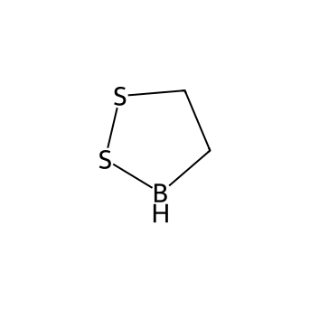 B1CCSS1